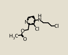 CC(=O)OCc1nccc(NCCCCl)c1Cl